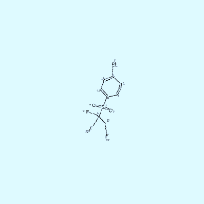 CCc1ccc(S(=O)(=O)C(F)(F)CF)cc1